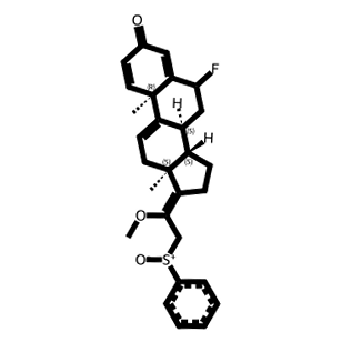 COC(C[S+]([O-])c1ccccc1)=C1CC[C@H]2[C@@H]3CC(F)C4=CC(=O)C=C[C@]4(C)C3=CC[C@]12C